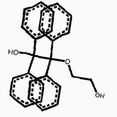 OCCOC(c1ccccc1)(c1ccccc1)C(O)(c1ccccc1)c1ccccc1